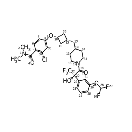 CN(C)C(=O)c1ccc(O[C@H]2C[C@@H](CC3CCN(C(=O)[C@](O)(c4cccc(OC(F)F)c4)C(F)(F)F)CC3)C2)cc1Cl